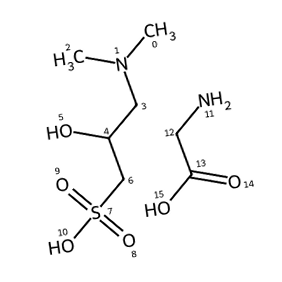 CN(C)CC(O)CS(=O)(=O)O.NCC(=O)O